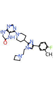 Cc1cc(-c2cn(CCN3CCC3)c(C3CCN(c4ncnc5c4NC(=O)CN5)CC3)n2)ccc1F